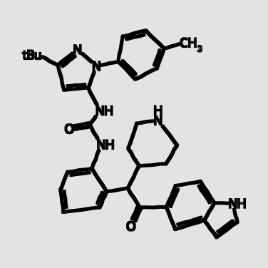 Cc1ccc(-n2nc(C(C)(C)C)cc2NC(=O)Nc2ccccc2C(C(=O)c2ccc3[nH]ccc3c2)C2CCNCC2)cc1